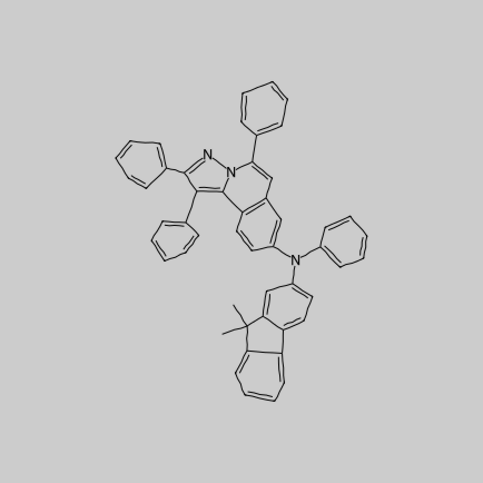 CC1(C)c2ccccc2-c2ccc(N(c3ccccc3)c3ccc4c(c3)cc(-c3ccccc3)n3nc(-c5ccccc5)c(-c5ccccc5)c43)cc21